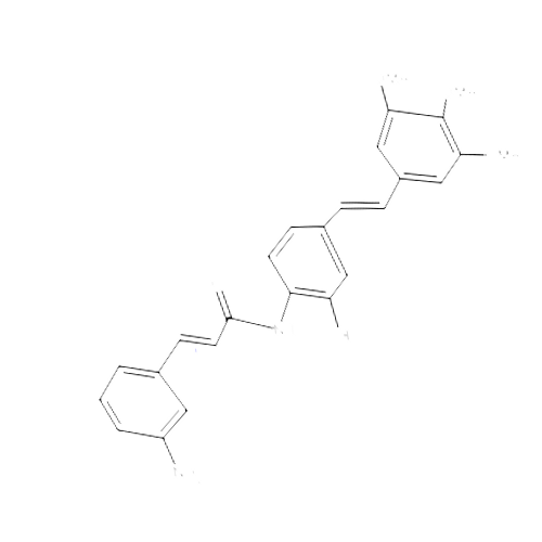 COc1cc(C=Cc2ccc(NC(=O)/C=C/c3cccc([N+](=O)[O-])c3)c(O)c2)cc(OC)c1OC